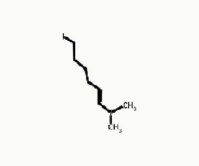 CI(C)/C=C/CCCCI